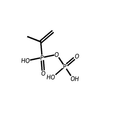 C=C(C)P(=O)(O)OP(=O)(O)O